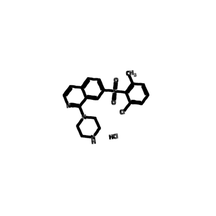 Cc1cccc(Cl)c1S(=O)(=O)c1ccc2ccnc(N3CCNCC3)c2c1.Cl